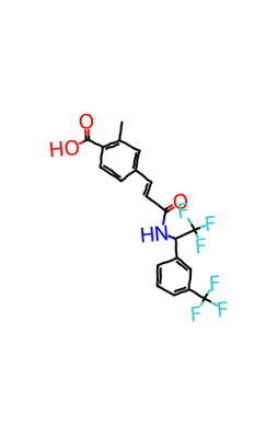 Cc1cc(C=CC(=O)NC(c2cccc(C(F)(F)F)c2)C(F)(F)F)ccc1C(=O)O